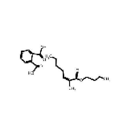 CCCCC=C(C)C(=O)OCCCC.O=C(O)c1ccccc1C(=O)O